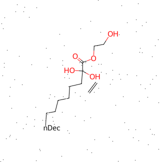 C=C.CCCCCCCCCCCCCCCCC(O)(O)C(=O)OCCO